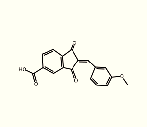 COc1cccc(/C=C2/C(=O)c3ccc(C(=O)O)cc3C2=O)c1